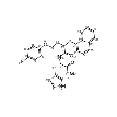 COC(=O)[C@H](Cc1c[nH]cn1)NC(=O)C(CCOc1ccc(F)cc1)Cc1cccc2ccccc12